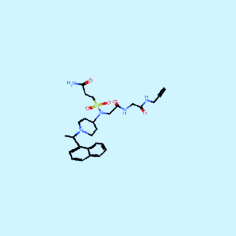 C#CCNC(=O)CNC(=O)CN(C1CCN(C(C)c2cccc3ccccc23)CC1)S(=O)(=O)CCC(N)=O